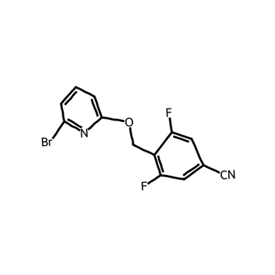 N#Cc1cc(F)c(COc2cccc(Br)n2)c(F)c1